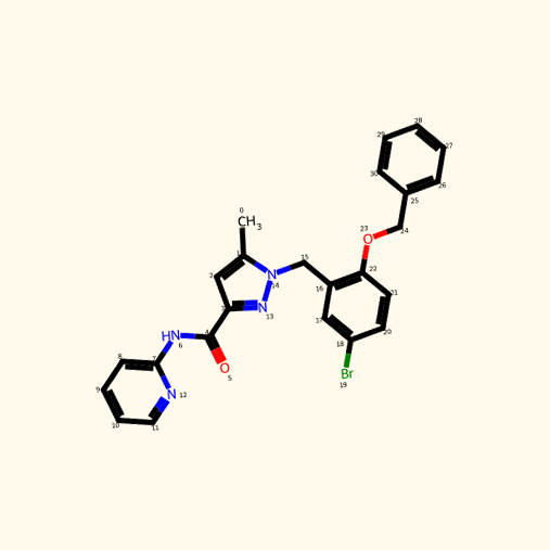 Cc1cc(C(=O)Nc2ccccn2)nn1Cc1cc(Br)ccc1OCc1ccccc1